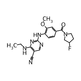 CCNc1nc(Nc2ccc(C(=O)N3CCC(F)C3)cc2OC)ncc1C#N